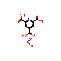 O=C(O)c1cc(C(=O)O)nc(C(=O)O)c1.O=NO